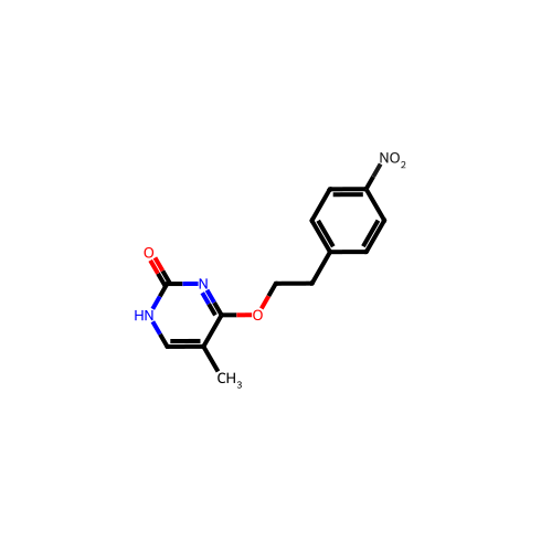 Cc1c[nH]c(=O)nc1OCCc1ccc([N+](=O)[O-])cc1